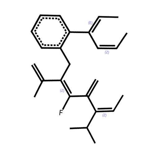 C=C(/C(=C\C)C(C)C)/C(F)=C(\Cc1ccccc1C(/C=C\C)=C/C)C(=C)C